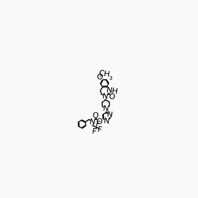 COc1ccc2c(c1)CCN(C1CCN(c3cc(OC(=O)N(Cc4ccccc4)CC(F)(F)F)ncn3)CC1)C(=O)N2